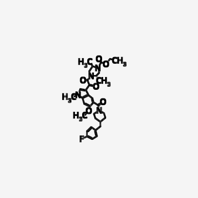 CCOC(=O)N1C[C@H](C)N(C(=O)C(=O)c2cn(C)c3cc(OC)c(C(=O)N4CCC(Cc5ccc(F)cc5)CC4)cc23)C[C@H]1C